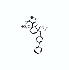 CC1C(Cc2ccc(-c3ccccc3)cc2)(C(=O)O)C=CCC1(C(=O)O)C(=O)C(N)=O